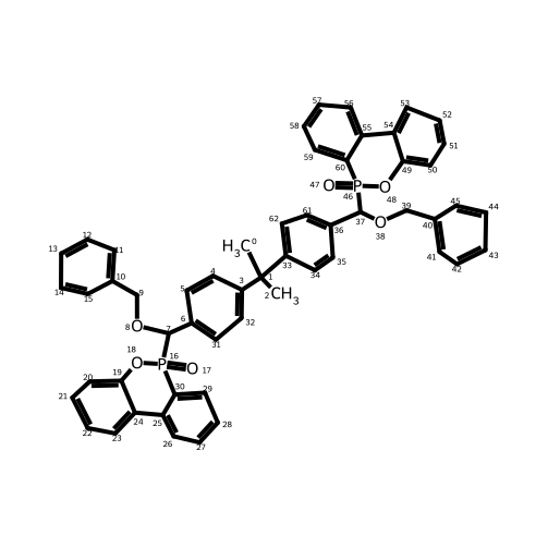 CC(C)(c1ccc(C(OCc2ccccc2)P2(=O)Oc3ccccc3-c3ccccc32)cc1)c1ccc(C(OCc2ccccc2)P2(=O)Oc3ccccc3-c3ccccc32)cc1